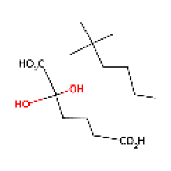 CCCCC(C)(C)C.O=C(O)CCCC(O)(O)C(=O)O